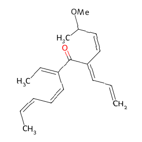 C=C/C=C(\C=C/C(C)OC)C(=O)C(/C=C\C=C/C)=C/C